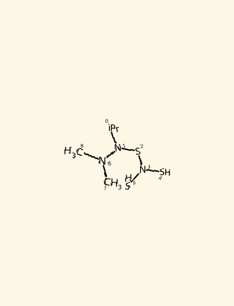 CC(C)N(SN(S)S)N(C)C